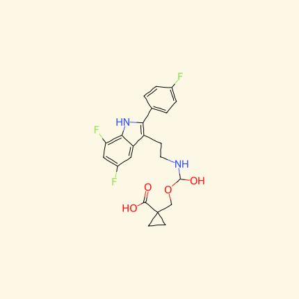 O=C(O)C1(COC(O)NCCc2c(-c3ccc(F)cc3)[nH]c3c(F)cc(F)cc23)CC1